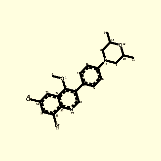 COc1c(-c2ccc(N3CC(C)OC(C)C3)cc2)cnc2c(Br)cc(Cl)cc12